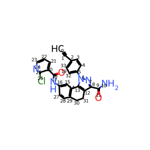 C#Cc1ccc(-n2nc(C(N)=O)c3c2-c2cc(NC(=O)c4cccnc4Cl)ccc2CC3)cc1